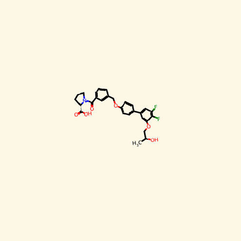 CC(O)COc1cc(-c2ccc(OCc3cccc(C(=O)N4CCC[C@H]4C(=O)O)c3)cc2)cc(F)c1F